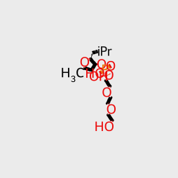 CC(C)C[C@H]1O[C@@H](C)[C@H](O)[C@@H]1OP(=O)(O)OCCOCCOCCO